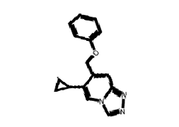 c1ccc(OCc2cc3nncn3cc2C2CC2)cc1